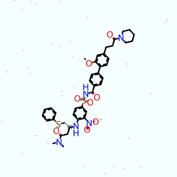 COc1cc(CCC(=O)N2CCCCC2)ccc1-c1ccc(C(=O)NS(=O)(=O)c2ccc(N[C@@H](CSc3ccccc3)CC(=O)N(C)C)c([N+](=O)[O-])c2)cc1